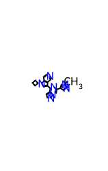 Cn1cc(-c2cn3nccc3c(-c3cn(C4CCC4)c4ccncc34)n2)cn1